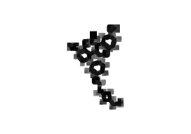 CC1=C(c2cccc(C#N)c2Cl)[C@@H](c2ccc(OCCN3CC(CF)C3)cc2)Oc2ccc(O)cc21